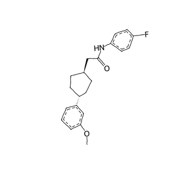 COc1cccc([C@H]2CC[C@H](CC(=O)Nc3ccc(F)cc3)CC2)c1